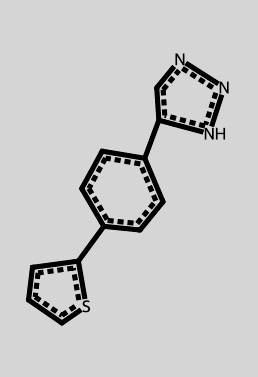 c1csc(-c2ccc(-c3cnn[nH]3)cc2)c1